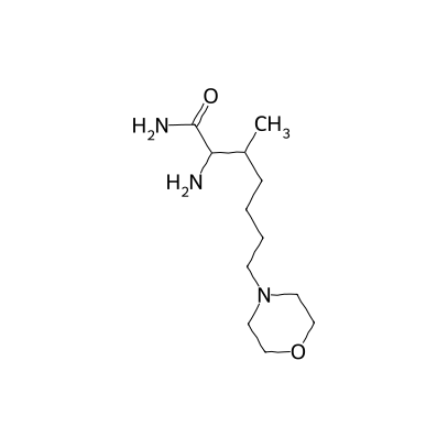 CC(CCCCN1CCOCC1)C(N)C(N)=O